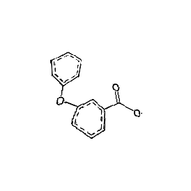 [O]C(=O)c1cccc(Oc2ccccc2)c1